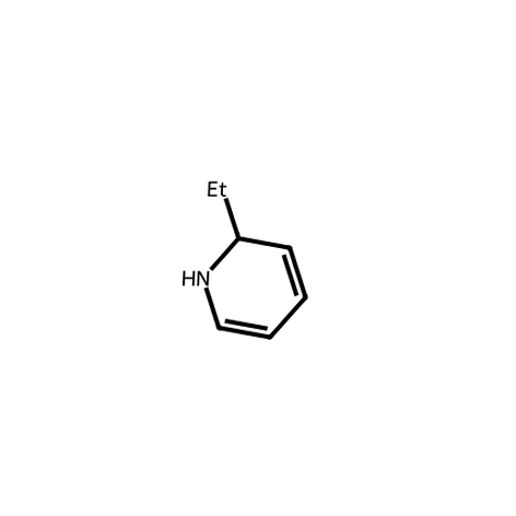 CC[C]1C=CC=CN1